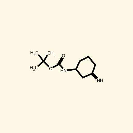 CC(C)(C)OC(=O)NC1CCCC(=N)C1